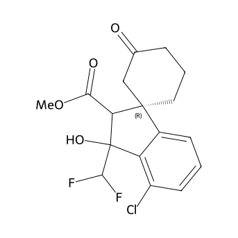 COC(=O)C1C(O)(C(F)F)c2c(Cl)cccc2[C@@]12CCCC(=O)C2